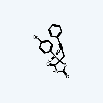 O=C1NC(=O)C(CC#Cc2ccccc2)(S(=O)(=O)c2ccc(Br)cc2)S1